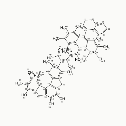 Bc1c(C)c(C)c(C)c2c(-c3cccc4ccccc34)c3c(C)c(C)c(C)c(C)c3c(/C(O)=C(C)/C(C)=C(\C(=C)O)c3c(C)c(C)c4c(c3C)Cc3c(O)c(O)c5c(c3-4)-c3c(C)c(C)c(C)c(O)c3C5)c12